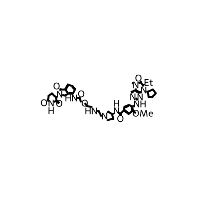 CC[C@@H]1C(=O)N(C)c2cnc(Nc3ccc(C(=O)NC4CCN(CCNCCOCC(=O)Nc5cccc6c5CN(C5CCC(=O)NC5=O)C6=O)C4)cc3OC)nc2N1C1CCCC1